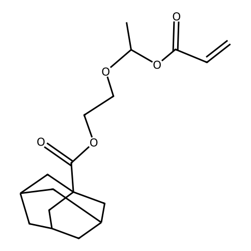 C=CC(=O)OC(C)OCCOC(=O)C12CC3CC(CC(C3)C1)C2